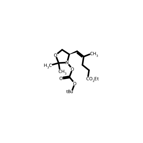 CCOC(=O)CCC(C)=C[C@@H]1COC(C)(C)N1OC(=O)OC(C)(C)C